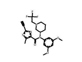 C#Cc1nc(C(=O)N(c2cc(OC)cc(OC)c2)[C@@H]2CCCN(CC(F)(F)F)C2)c(C)s1